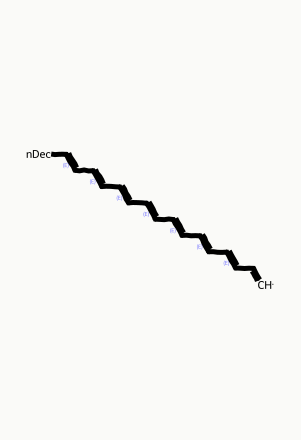 [CH]=C/C=C/C=C/C=C/C=C/C=C/C=C/C=C/CCCCCCCCCC